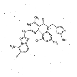 CC1=C(C(=O)NCc2cnn(C(C)(C)C)c2)C(c2ccc(C)cc2Cl)N=C(Nc2nc3ccc(F)c(N)c3o2)N1